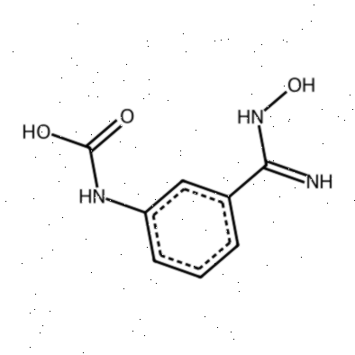 N=C(NO)c1cccc(NC(=O)O)c1